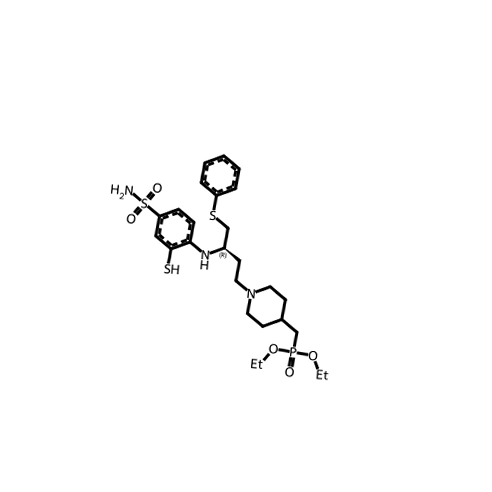 CCOP(=O)(CC1CCN(CC[C@H](CSc2ccccc2)Nc2ccc(S(N)(=O)=O)cc2S)CC1)OCC